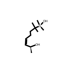 C[C@H](O)/C=C\CCC(C)(C)[Si](C)(C)O